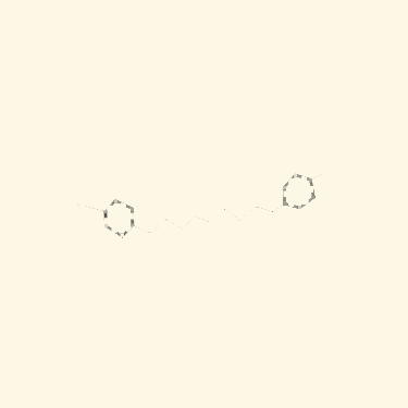 Oc1ccc(CCCCCCCCCc2ccc(O)cc2)cc1